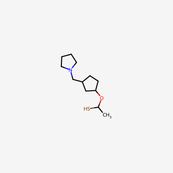 CC(S)OC1CCC(CN2CCCC2)C1